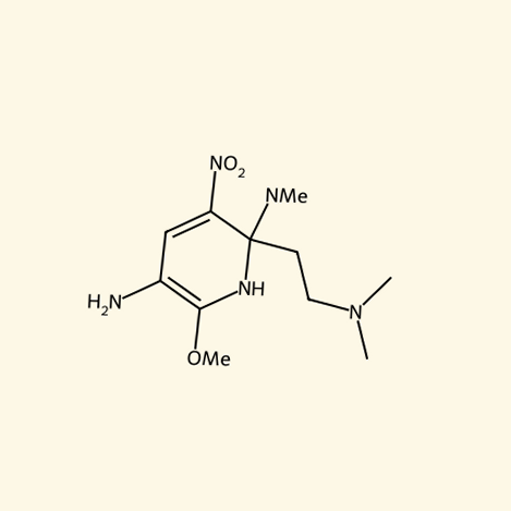 CNC1(CCN(C)C)NC(OC)=C(N)C=C1[N+](=O)[O-]